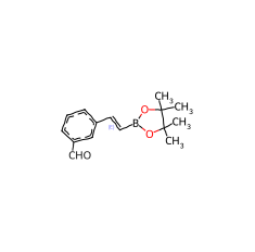 CC1(C)OB(/C=C/c2cccc(C=O)c2)OC1(C)C